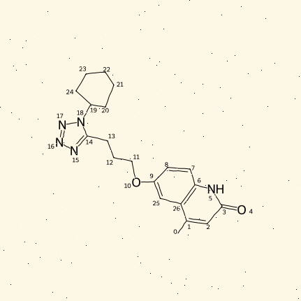 Cc1cc(=O)[nH]c2ccc(OCCCc3nnnn3C3CCCCC3)cc12